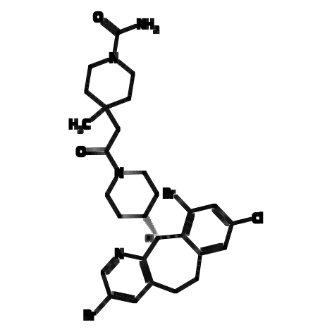 CC1(CC(=O)N2CCC([C@H]3c4ncc(Br)cc4CCc4cc(Cl)cc(Br)c43)CC2)CCN(C(N)=O)CC1